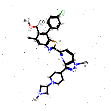 CC(=O)N1CC(N2CCC(c3nn(C(C)C)c4ccc(-c5nc6cc(C)c([C@H](OC(C)(C)C)C(=O)O)c(-c7ccc(Cl)cc7)c6s5)nc34)CC2)C1